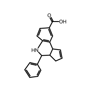 O=C(O)c1ccc2c(c1)C1C=CCC1C(c1ccccc1)N2